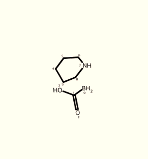 BC(=O)O.C1CCNCC1